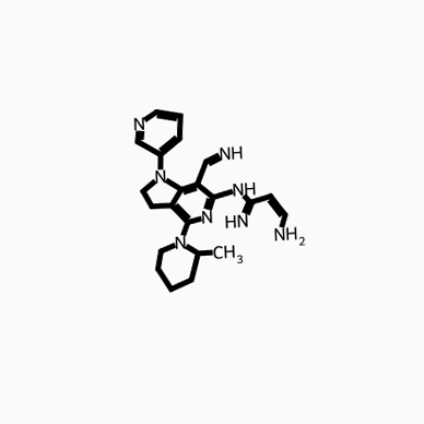 CC1CCCCN1c1nc(NC(=N)/C=C\N)c(C=N)c2c1CCN2c1cccnc1